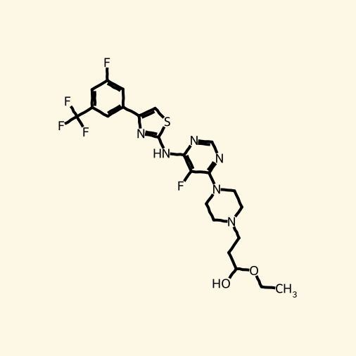 CCOC(O)CCN1CCN(c2ncnc(Nc3nc(-c4cc(F)cc(C(F)(F)F)c4)cs3)c2F)CC1